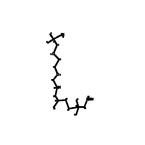 CC[N+](C)(C)COCCOCNCC(C)CCC(C)(C)CNC